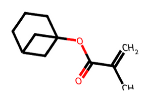 C=C(C)C(=O)OC12CCCC(C1)C2